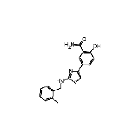 Cc1ccccc1CNc1nc(-c2ccc(O)c(C(N)=O)c2)cs1